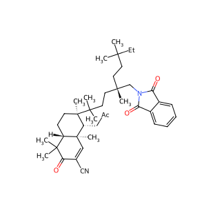 CCC(C)(C)CC[C@@](C)(CCC(C)(C)[C@]1(C)CC[C@H]2C(C)(C)C(=O)C(C#N)=C[C@]2(C)[C@H]1CC(C)=O)CN1C(=O)c2ccccc2C1=O